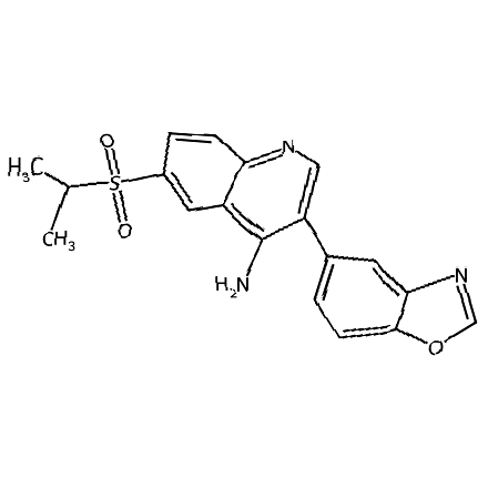 CC(C)S(=O)(=O)c1ccc2ncc(-c3ccc4ocnc4c3)c(N)c2c1